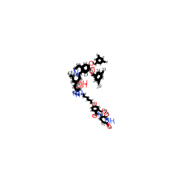 Cc1cc(C)cc(COc2cc3c(cc2OCc2cc(C)cc(C)c2)C2CC(O)(Cc4cn(CCCCCCOc5ccc6c(c5)C(=O)N(C5CCC(=O)NC5=O)C6=O)nn4)CC(C)N2CC3)c1